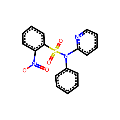 O=[N+]([O-])c1ccccc1S(=O)(=O)N(c1ccccc1)c1ccccn1